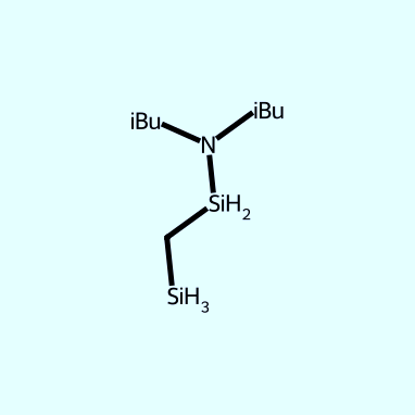 CCC(C)N([SiH2]C[SiH3])C(C)CC